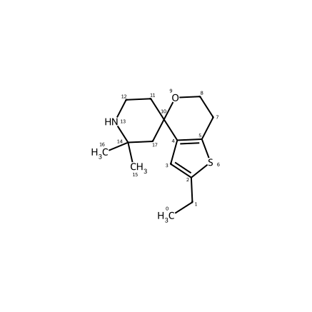 CCc1cc2c(s1)CCOC21CCNC(C)(C)C1